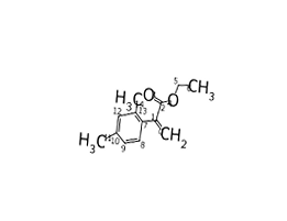 C=C(C(=O)OCC)c1ccc(C)cc1C